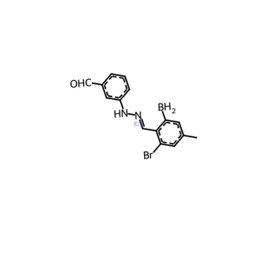 Bc1cc(C)cc(Br)c1/C=N/Nc1cccc(C=O)c1